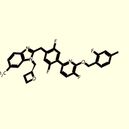 Cc1ccc(COc2nc(-c3cc(F)c(Cc4nc5ccc(C(=O)O)cc5n4C[C@@H]4CCO4)cc3F)ccc2F)c(F)c1